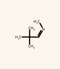 C/N=C\C(C)(C)C